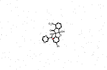 CC(C)c1ccc2c(c1)OC1(O)c3cccc([N+](=O)[O-])c3C(=O)C21NC(=O)c1cnccn1